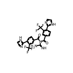 N=C(N)N(C(=O)c1ccc(-c2ncc[nH]2)c(C(F)(F)F)c1)C(=O)c1ccc(-c2ncc[nH]2)c(C(F)(F)F)c1